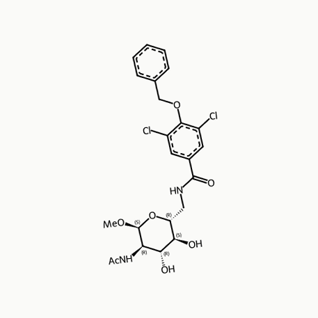 CO[C@H]1O[C@H](CNC(=O)c2cc(Cl)c(OCc3ccccc3)c(Cl)c2)[C@@H](O)[C@H](O)[C@H]1NC(C)=O